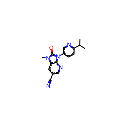 CC(C)c1ccc(-n2c(=O)n(C)c3cc(C#N)cnc32)cn1